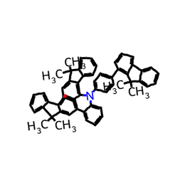 CC1(C)c2ccccc2-c2ccc(-c3ccccc3N(c3ccc(-c4cccc5c4C(C)(C)c4ccccc4-5)cc3)c3cccc4c3-c3ccccc3C4(C)C)cc21